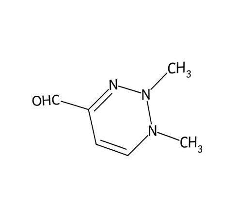 CN1C=CC(C=O)=NN1C